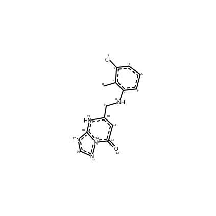 Cc1c(Cl)cccc1NCc1cc(=O)n2ncnc2[nH]1